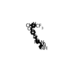 O=C(c1cc(C(F)(F)F)ncc1Cl)N1CCC(N2CC(n3cc(-c4ncnc5[nH]ccc45)cn3)C2)CC1